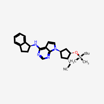 CC(C)(C)[Si](C)(C)O[C@H]1C[C@H](n2ccc3c(N[C@H]4CCc5ccccc54)ncnc32)C[C@H]1CC#N